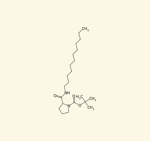 CCCCCCCCCCCCNC(=O)C1CCCN1C(=O)OC(C)(C)C